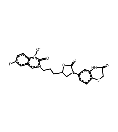 O=C1CSc2ccc(N3CC(CCCn4cc5cc(F)ccc5[n+]([O-])c4=O)OC3=O)cc2N1